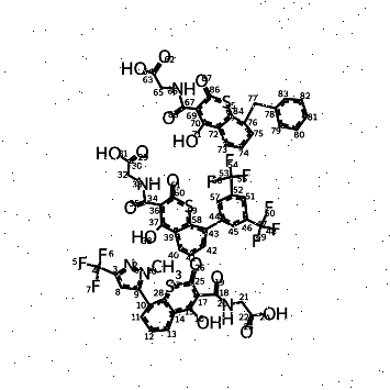 Cn1nc(C(F)(F)F)cc1-c1cccc2c(O)c(C(=O)NCC(=O)O)c(=O)sc12.O=C(O)CNC(=O)c1c(O)c2cccc(-c3cc(C(F)(F)F)cc(C(F)(F)F)c3)c2sc1=O.O=C(O)CNC(=O)c1c(O)c2cccc(Cc3ccccc3)c2sc1=O